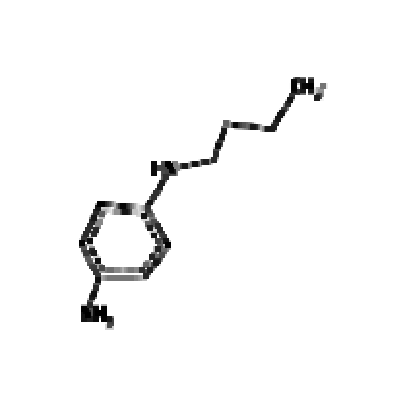 [CH2]CCCNc1ccc(N)cc1